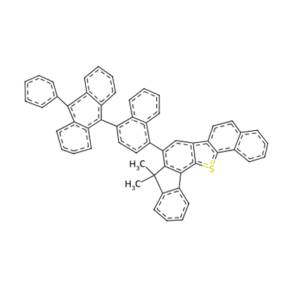 CC1(C)c2ccccc2-c2c1c(-c1ccc(-c3c4ccccc4c(-c4ccccc4)c4ccccc34)c3ccccc13)cc1c2sc2c3ccccc3ccc12